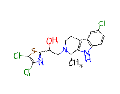 CC1c2[nH]c3ccc(Cl)cc3c2CCN1CC(O)c1nc(Cl)c(Cl)s1